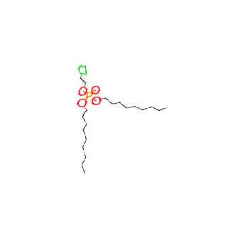 CCCCCCCCCOP(=O)(OCCCl)OCCCCCCCCC